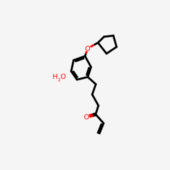 C=CC(=O)CCCc1cccc(OC2CCCC2)c1.O